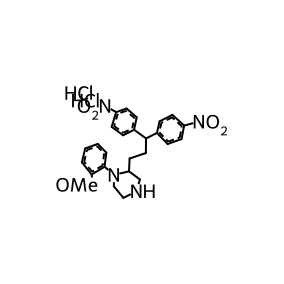 COc1ccccc1N1CCNCC1CCC(c1ccc([N+](=O)[O-])cc1)c1ccc([N+](=O)[O-])cc1.Cl.Cl